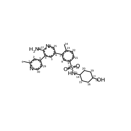 Cc1cc(-c2cc(-c3cc(S(=O)(=O)NC4CCC(O)CC4)ccc3C)cnc2N)ccn1